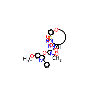 COc1ccc2c(O[C@@H]3C[C@@H](C(=O)N[C@]45C[C@@H]4CCCCCCCCOc4cccc(c4)S(=O)(=O)NC5=O)N(C(C)=O)C3)cc(-c3ccccc3)nc2c1